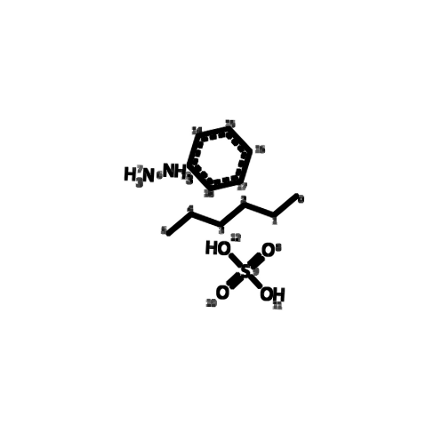 CCCCCC.N.N.O=S(=O)(O)O.c1ccccc1